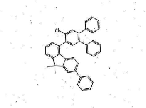 CC1(C)c2cc(-c3ccccc3)ccc2-c2c(-c3cc(-c4ccccc4)c(-c4ccccc4)cc3Cl)cccc21